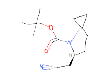 CC(C)(C)OC(=O)N1[C@H](CC#N)CCC12CC2